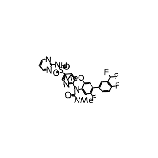 CNC(=O)N(c1ccc(S(=O)(=O)Nc2ncccn2)cn1)c1cc(F)c(-c2ccc(F)c(C(F)F)c2)cc1OC